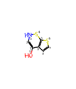 OC1=CNSc2sccc21